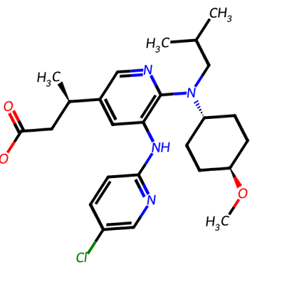 CO[C@H]1CC[C@H](N(CC(C)C)c2ncc([C@H](C)CC(=O)O)cc2Nc2ccc(Cl)cn2)CC1